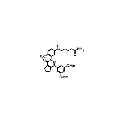 COc1cc(OC)cc(-c2nn(-c3cc(NCCCCC(N)=O)ccc3C(F)(F)F)c(=O)c3c2CCC3)c1